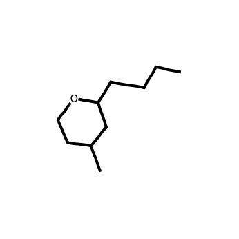 CCCCC1CC(C)CCO1